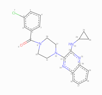 O=C(c1cccc(Cl)c1)N1CCN(c2nc3ccccc3nc2NC2CC2)CC1